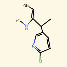 CC(C)N/C(=C\N=O)C(C)c1ccc(Cl)nc1